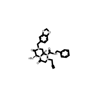 C#CCN1CC(=O)N2[C@@H](CCCC)C(=O)N(Cc3ccc4c(c3)OCO4)C[C@@H]2N1C(=O)NCc1ccccc1